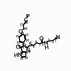 N#CCCNC(=O)CCCSc1nc2cc[nH]c2c(=O)n1-c1ccc(OCCCCF)cc1